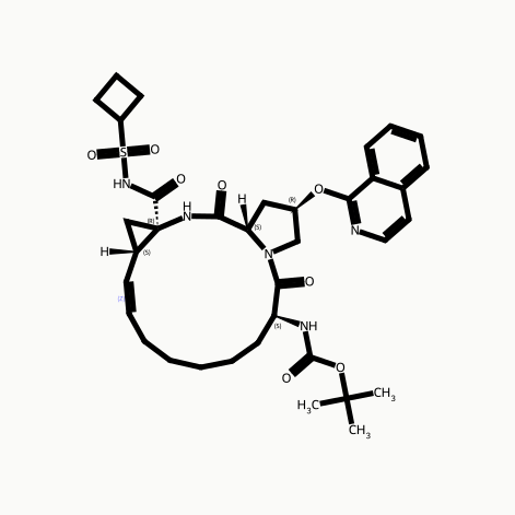 CC(C)(C)OC(=O)N[C@H]1CCCCC/C=C\[C@@H]2C[C@@]2(C(=O)NS(=O)(=O)C2CCC2)NC(=O)[C@@H]2C[C@@H](Oc3nccc4ccccc34)CN2C1=O